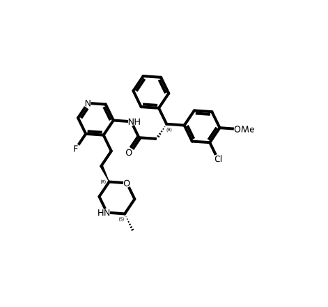 COc1ccc([C@H](CC(=O)Nc2cncc(F)c2CC[C@@H]2CN[C@@H](C)CO2)c2ccccc2)cc1Cl